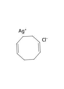 C1=C\CC/C=C\CC/1.[Ag+].[Cl-]